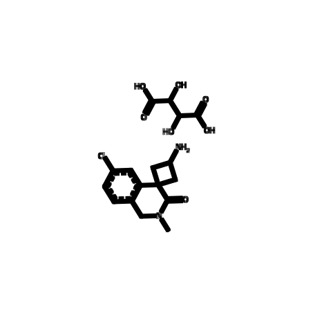 CN1Cc2ccc(Cl)cc2C2(CC(N)C2)C1=O.O=C(O)C(O)C(O)C(=O)O